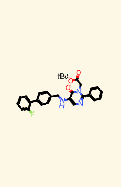 CC(C)(C)OC(=O)Cn1c(-c2ccccc2)ncc(NCc2ccc(-c3ccccc3F)cc2)c1=O